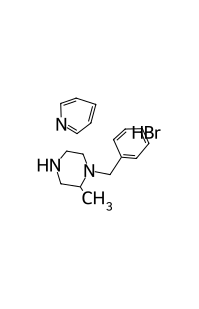 Br.CC1CNCCN1Cc1ccccc1.c1ccncc1